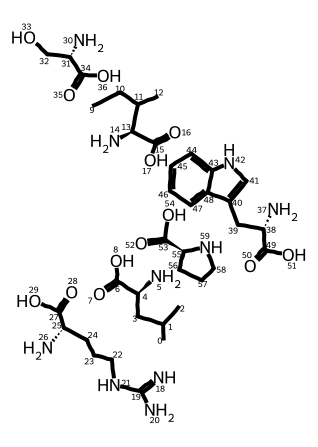 CC(C)C[C@H](N)C(=O)O.CCC(C)[C@H](N)C(=O)O.N=C(N)NCCC[C@H](N)C(=O)O.N[C@@H](CO)C(=O)O.N[C@@H](Cc1c[nH]c2ccccc12)C(=O)O.O=C(O)[C@@H]1CCCN1